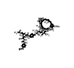 COc1cc2cc(c1Cl)N(C)C(=O)C[C@H](OC(=O)[C@H](C)N(C)C(=O)CCN(C)C(=O)OCc1ccc(NC(=O)[C@H](CCCNC(N)=O)NC(=O)[C@@H](NC(=S)Nc3ccc(N=C=S)cc3)C(C)C)cc1)[C@]1(C)O[C@H]1[C@H](C)[C@@H]1C[C@@](O)(NC(=O)O1)[C@H](OC)/C=C/C=C(\C)C2